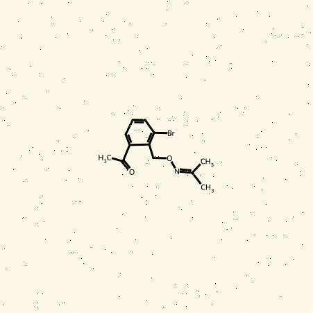 CC(=O)c1cccc(Br)c1CON=C(C)C